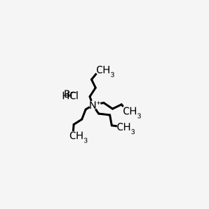 CCCC[N+](CCCC)(CCCC)CCCC.Cl.[Br-]